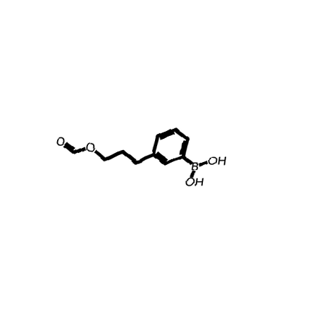 O=COCCCc1cccc(B(O)O)c1